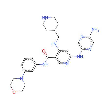 Nc1cnc(Nc2cc(NCC3CCNCC3)c(C(=O)Nc3cccc(N4CCOCC4)c3)cn2)cn1